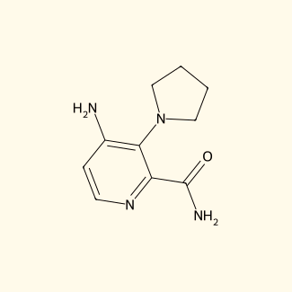 NC(=O)c1nccc(N)c1N1CCCC1